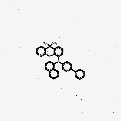 CC1(C)c2ccccc2Sc2c(N(c3ccc(-c4ccccc4)cc3)c3cccc4ccccc34)cccc21